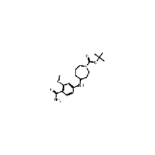 COc1cc(NC2CCCN(C(=O)OC(C)(C)C)CC2)ccc1C(N)=O